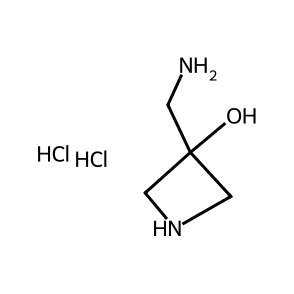 Cl.Cl.NCC1(O)CNC1